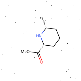 CC[C@@H]1CCC[C@H](C(=O)OC)N1